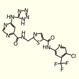 O=C(NCc1ncc(C(=O)Nc2cc(C(F)(F)F)c(Cl)cn2)s1)c1cc(Nc2nnn[nH]2)ncn1